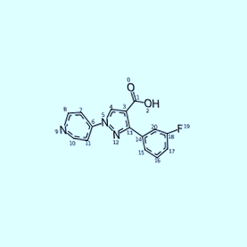 O=C(O)c1cn(-c2ccncc2)nc1-c1cccc(F)c1